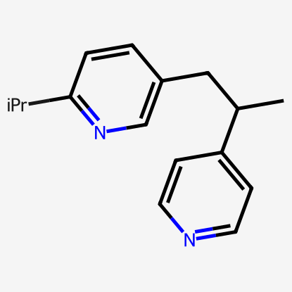 CC(C)c1ccc(CC(C)c2ccncc2)cn1